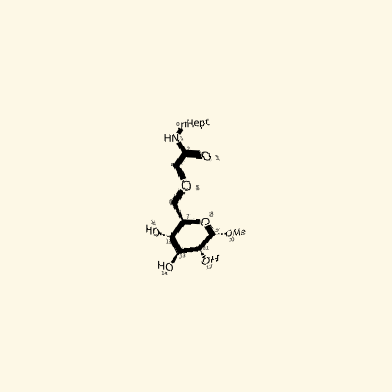 CCCCCCCNC(=O)COC[C@H]1O[C@H](OC)[C@H](O)[C@@H](O)[C@@H]1O